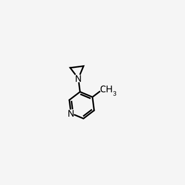 Cc1ccncc1N1CC1